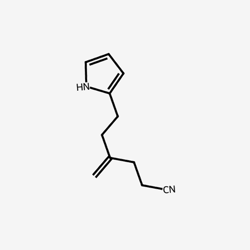 C=C(CCC#N)CCc1ccc[nH]1